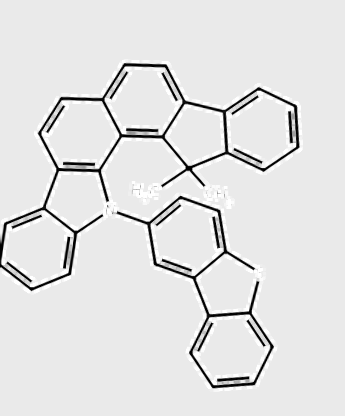 CC1(C)c2ccccc2-c2ccc3ccc4c5ccccc5n(-c5ccc6sc7ccccc7c6c5)c4c3c21